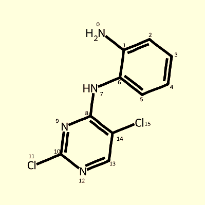 Nc1ccccc1Nc1nc(Cl)ncc1Cl